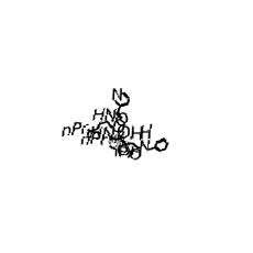 CCCC(CCC)CCC(NC(=O)c1cccnc1)C(=O)N[C@@H](CC(C)C)[C@@H](O)[C@H](O)CC(=O)NCc1ccccc1